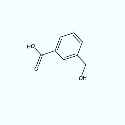 O=C(O)c1c[c]cc(CO)c1